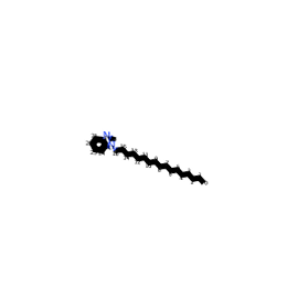 CCCCCCCCCCCCCCCCCn1cnc2ccccc21